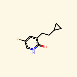 O=c1[nH]cc(Br)cc1CCC1CC1